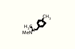 CNN(C)Cc1ccc(C)cc1